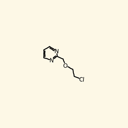 ClCCOCc1ncccn1